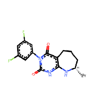 CC(C)[C@H]1CCCc2c([nH]c(=O)n(-c3cc(F)cc(F)c3)c2=O)N1